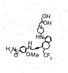 COc1cc([S+](N)[O-])ccc1NCC#CC1=Cc2c(cccc2NC2CCN(C[C@H](O)CO)CC2)CCC1CC(F)(F)F